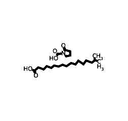 CC(C)CCCCCCCCCCCCCCC(=O)O.O=C(O)N1CCCC1=O